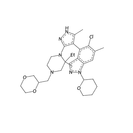 CCC1(C)CN(CC2COCCO2)CCN1c1n[nH]c(C)c1-c1c(Cl)c(C)cc2c1cnn2C1CCCCO1